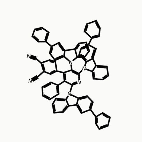 N#Cc1ccc(-c2c(-c3ccccc3)c(-n3c4ccccc4c4cc(-c5ccccc5)ccc43)nc(-n3c4ccccc4c4cc(-c5ccccc5)ccc43)c2-n2c3ccccc3c3cc(-c4ccccc4)ccc32)cc1C#N